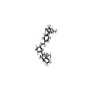 C(=Cc1cccc(-c2nc3ccccc3[nH]2)c1)c1ccc(-c2ncc[nH]2)cc1